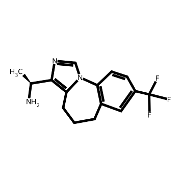 C[C@H](N)c1ncn2c1CCCc1cc(C(F)(F)F)ccc1-2